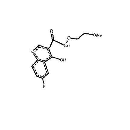 COCCONC(=O)c1cnc2ccc(F)cc2c1O